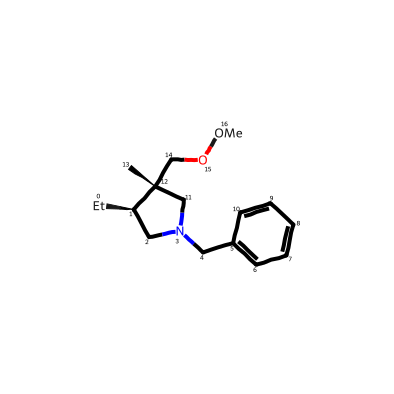 CC[C@@H]1CN(Cc2ccccc2)C[C@@]1(C)COOC